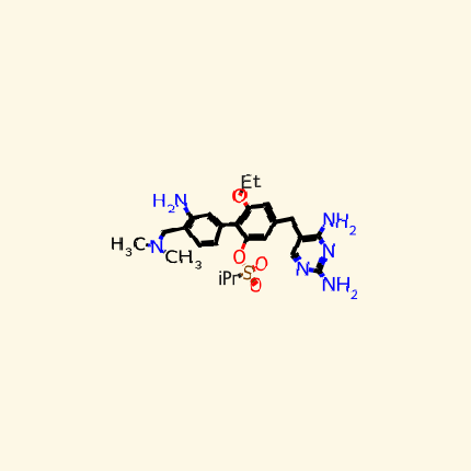 CCOc1cc(Cc2cnc(N)nc2N)cc(OS(=O)(=O)C(C)C)c1-c1ccc(CN(C)C)c(N)c1